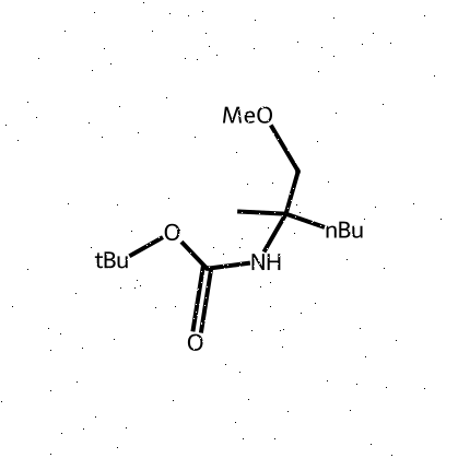 CCCCC(C)(COC)NC(=O)OC(C)(C)C